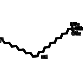 CO[Si](CCCCCCCCCCC/C=C\CCCCCCCCN)(OC)OC.Cl